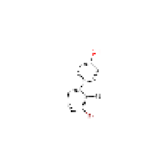 CCc1c(Br)cccc1-c1ccc(O)cc1